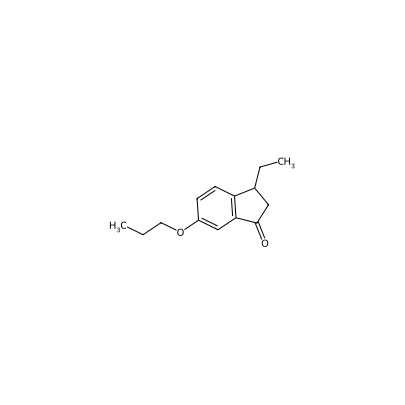 CCCOc1ccc2c(c1)C(=O)CC2CC